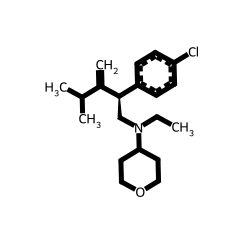 C=C(C(C)C)[C@H](CN(CC)C1CCOCC1)c1ccc(Cl)cc1